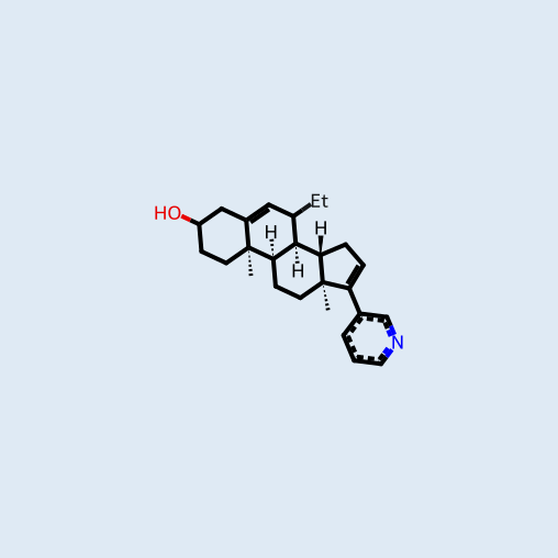 CCC1C=C2CC(O)CC[C@]2(C)[C@@H]2CC[C@]3(C)C(c4cccnc4)=CC[C@H]3[C@H]12